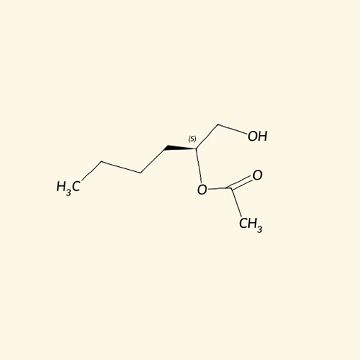 CCCC[C@@H](CO)OC(C)=O